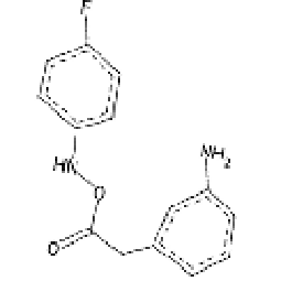 Nc1cccc(CC(=O)ONc2ccc(F)cc2)c1